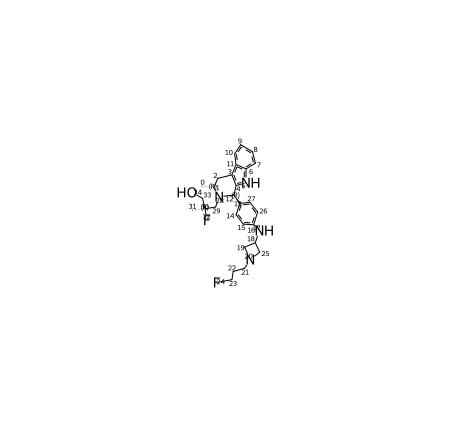 C[C@@H]1Cc2c([nH]c3ccccc23)[C@@H](c2ccc(NC3CN(CCCF)C3)cc2)N1C[C@@](C)(F)CO